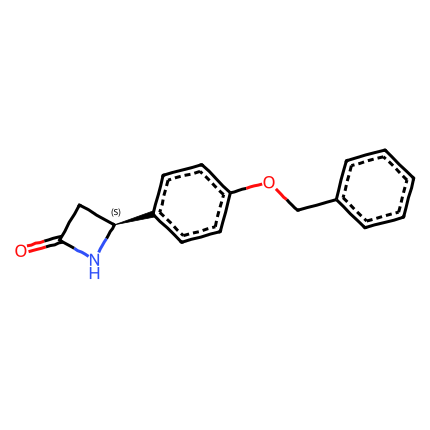 O=C1C[C@@H](c2ccc(OCc3ccccc3)cc2)N1